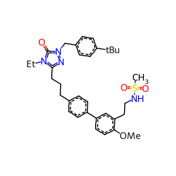 CCn1c(CCCc2ccc(-c3ccc(OC)c(CCNS(C)(=O)=O)c3)cc2)nn(Cc2ccc(C(C)(C)C)cc2)c1=O